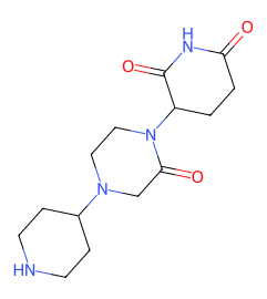 O=C1CCC(N2CCN(C3CCNCC3)CC2=O)C(=O)N1